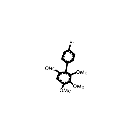 COc1cc(C=O)c(-c2ccc(Br)cc2)c(OC)c1OC